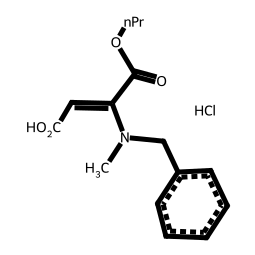 CCCOC(=O)/C(=C/C(=O)O)N(C)Cc1ccccc1.Cl